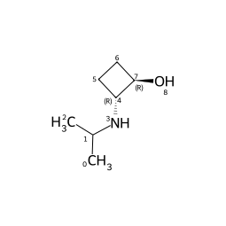 CC(C)N[C@@H]1CC[C@H]1O